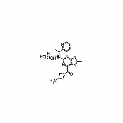 Cc1nc2nc(NC(C)c3ccccn3)nc(C(=O)N3CC(N)C3)c2s1.Cl.Cl.Cl